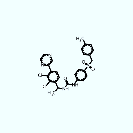 Cc1ccc(CS(=O)(=O)c2ccc(NC(=O)NC(C)c3ccc(-c4cnccn4)c(Cl)c3Cl)cc2)cc1